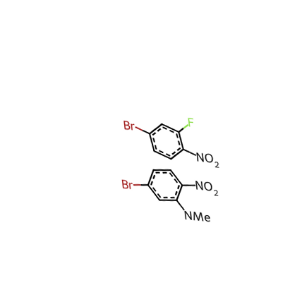 CNc1cc(Br)ccc1[N+](=O)[O-].O=[N+]([O-])c1ccc(Br)cc1F